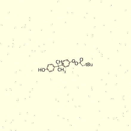 CC(C)(C)CC(=O)OOc1ccc(C(C)(C)c2ccc(O)cc2)cc1